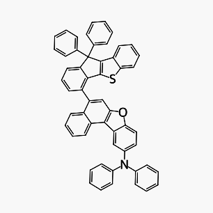 c1ccc(N(c2ccccc2)c2ccc3oc4cc(-c5cccc6c5-c5sc7ccccc7c5C6(c5ccccc5)c5ccccc5)c5ccccc5c4c3c2)cc1